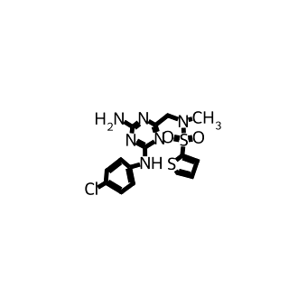 CN(Cc1nc(N)nc(Nc2ccc(Cl)cc2)n1)S(=O)(=O)c1cccs1